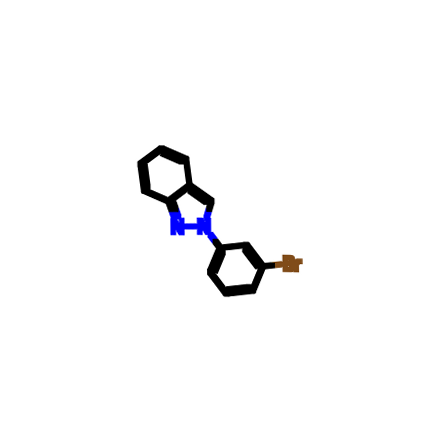 Brc1cccc(-n2cc3ccccc3n2)c1